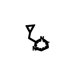 [c]1ccnc(CC2CC2)n1